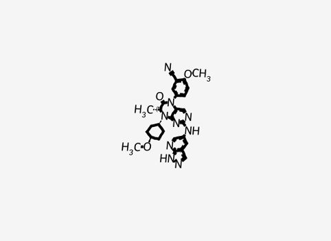 COc1ccc(N2C(=O)[C@@H](C)N([C@H]3CC[C@H](OC)CC3)c3nc(Nc4cnc5[nH]ncc5c4)ncc32)cc1C#N